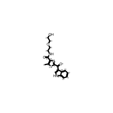 Cc1sc(C(=O)c2c[nH]c3ccccc23)nc1C(=O)NCCOCCO